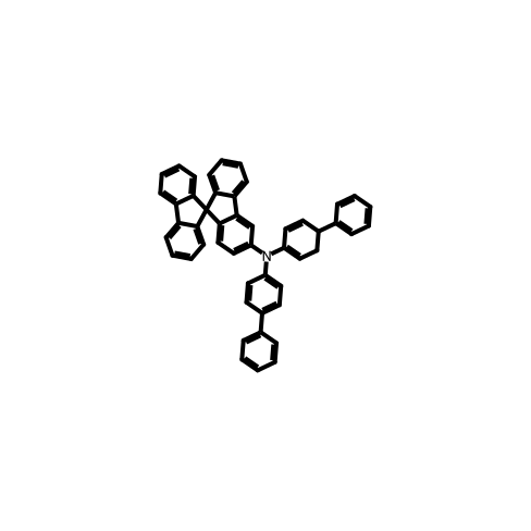 C1=CC(c2ccccc2)CC=C1N(c1ccc(-c2ccccc2)cc1)c1ccc2c(c1)-c1ccccc1C21c2ccccc2-c2ccccc21